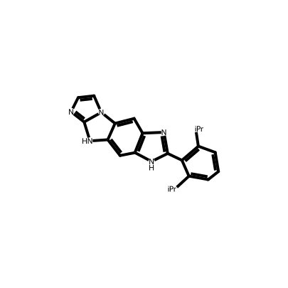 CC(C)c1cccc(C(C)C)c1-c1nc2cc3c(cc2[nH]1)[nH]c1nccn13